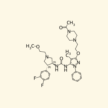 COCCN1C[C@@H](NC(=O)Nc2c(C)c(OCCN3CCN(C(C)=O)CC3)nn2-c2ccccc2)[C@H](c2ccc(F)c(F)c2)C1